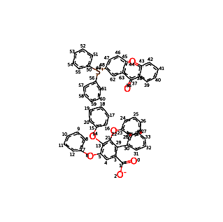 O=C([O-])c1cc(Oc2ccccc2)c(Oc2ccccc2)c(Oc2ccccc2)c1-c1ccccc1.O=c1c2ccccc2oc2ccc([S+](c3ccccc3)c3ccccc3)cc12